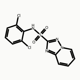 O=S(=O)(Nc1c(Cl)cccc1Cl)c1nc2ccccn2n1